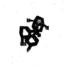 O=C(c1cccc(O)c1)N1[C@@H]2CC[C@H]1C[C@@H](c1ccc(F)cc1)C2